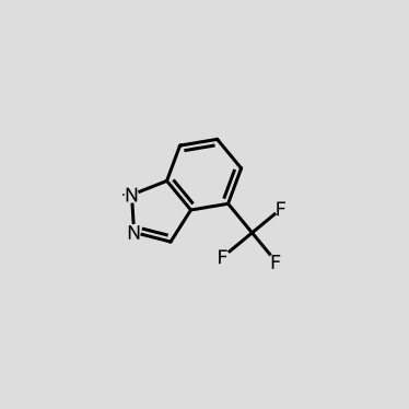 FC(F)(F)c1cccc2c1C=N[N]2